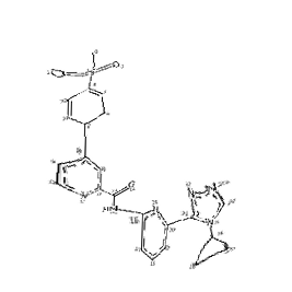 CS(=O)(=O)C1=CCC(c2ccnc(C(=O)Nc3cccc(-c4nncn4C4CC4)n3)c2)C=C1